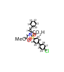 COC(=O)CN(C1(C(=O)O)CC1c1ccccc1)S(=O)(=O)c1ccc(-c2ccc(Cl)cc2)cc1